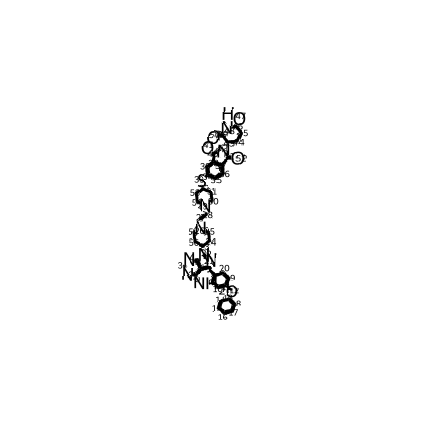 Nc1ncnc2c1c(-c1ccc(Oc3ccccc3)cc1)nn2C1CCN(CCN2CCC(Sc3ccc4c(c3)C(=O)N(C3CCC(=O)NC3=O)C4=O)CC2)CC1